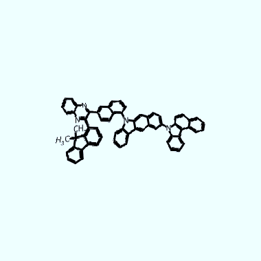 CC1(C)c2ccccc2-c2cccc(-c3nc4ccccc4nc3-c3ccc4c(-n5c6ccccc6c6cc7cc(-n8c9ccccc9c9c%10ccccc%10ccc98)ccc7cc65)cccc4c3)c21